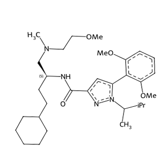 COCCN(C)C[C@H](CCC1CCCCC1)NC(=O)c1cc(-c2c(OC)cccc2OC)n(C(C)C(C)C)n1